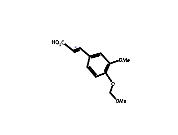 COCOc1ccc(/C=C/C(=O)O)cc1OC